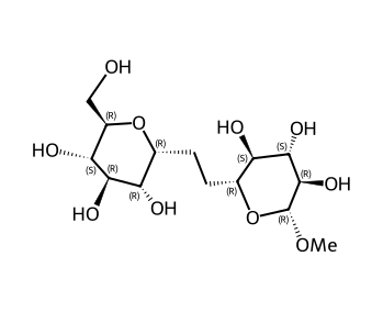 CO[C@@H]1O[C@H](CC[C@H]2O[C@H](CO)[C@@H](O)[C@H](O)[C@H]2O)[C@@H](O)[C@H](O)[C@H]1O